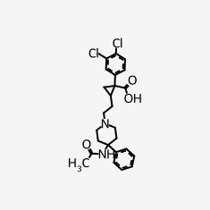 CC(=O)NC1(c2ccccc2)CCN(CCC2CC2(C(=O)O)c2ccc(Cl)c(Cl)c2)CC1